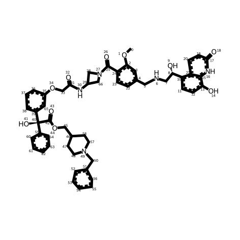 COc1cc(CNC[C@H](O)c2ccc(O)c3[nH]c(=O)ccc23)ccc1C(=O)N1CC(NC(=O)COc2cccc([C@](O)(C(=O)OCC3CCN(Cc4ccccc4)CC3)c3ccccc3)c2)C1